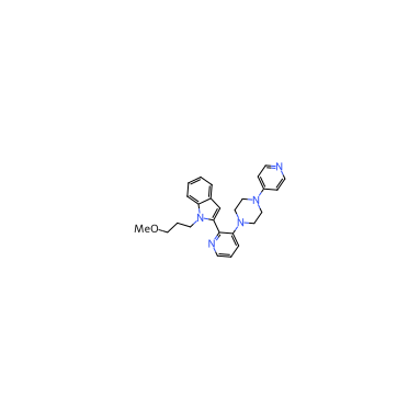 COCCCn1c(-c2ncccc2N2CCN(c3ccncc3)CC2)cc2ccccc21